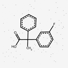 CC(C(=O)O)(c1ccccc1)c1cccc(F)c1